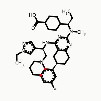 CC[C@H](C1CCC(C(=O)O)CC1)N(C)c1nc2c(c(N[C@@H](CN3CCCCC3)c3cnn(CC)c3)n1)C[C@H](c1cccc(F)c1)CC2